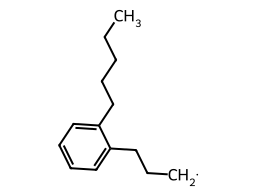 [CH2]CCc1ccccc1CCCCC